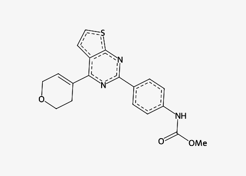 COC(=O)Nc1ccc(-c2nc(C3=CCOCC3)c3ccsc3n2)cc1